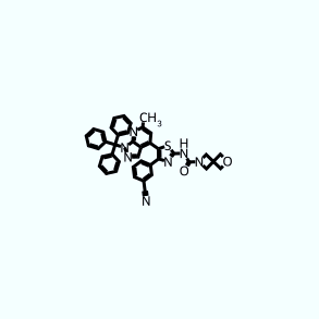 Cc1cc(-c2sc(NC(=O)N3CC4(COC4)C3)nc2-c2cccc(C#N)c2)c2cnn(C(c3ccccc3)(c3ccccc3)c3ccccc3)c2n1